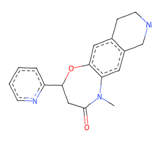 CN1C(=O)CC(c2ccccn2)Oc2cc3c(cc21)CNCC3